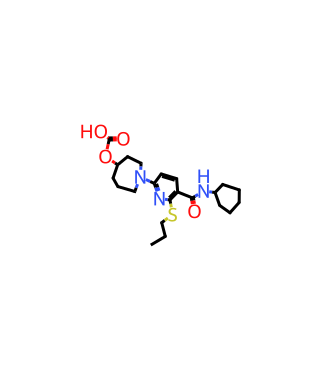 CCCSc1nc(N2CCCC(OC(=O)O)CC2)ccc1C(=O)NC1CCCCC1